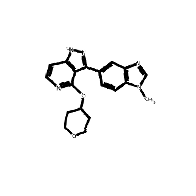 Cn1cnc2cc(-c3n[nH]c4ccnc(OC5CCOCC5)c34)ccc21